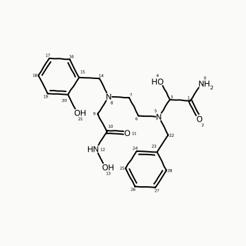 NC(=O)C(O)N(CCN(CC(=O)NO)Cc1ccccc1O)Cc1ccccc1